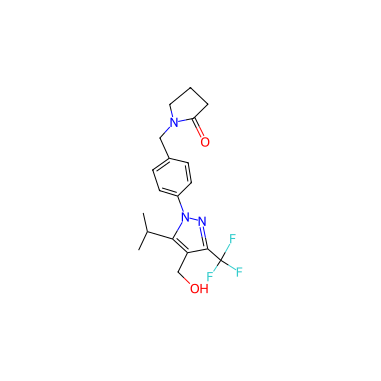 CC(C)c1c(CO)c(C(F)(F)F)nn1-c1ccc(CN2CCCC2=O)cc1